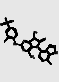 Cc1ccc(-n2c(=O)n(C(C)C)c3nc(Nc4ccc(S(C)(=O)=O)cc4F)nc(N)c32)c2cn[nH]c12